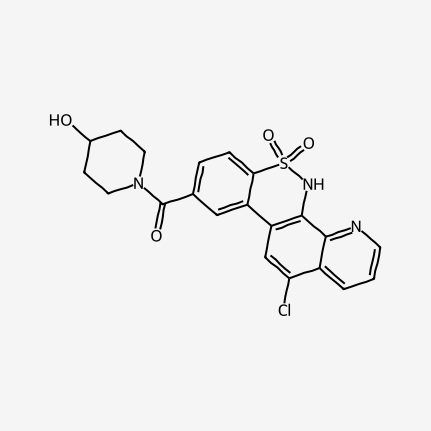 O=C(c1ccc2c(c1)-c1cc(Cl)c3cccnc3c1NS2(=O)=O)N1CCC(O)CC1